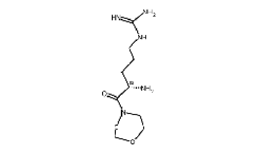 N=C(N)NCCC[C@H](N)C(=O)N1CCOCC1